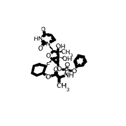 CC(N[P@](=O)(Oc1ccccc1)OC1[C@]2(O)[C@@](C)(O)[C@H](n3ccc(=O)[nH]c3=O)O[C@]12F)C(=O)OC1CCCCC1